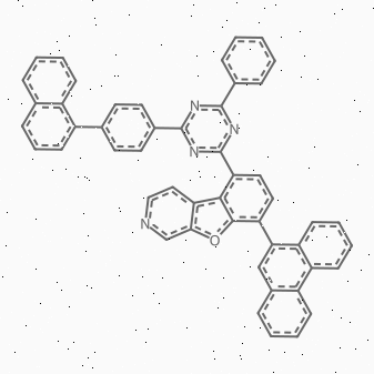 c1ccc(-c2nc(-c3ccc(-c4cccc5ccccc45)cc3)nc(-c3ccc(-c4cc5ccccc5c5ccccc45)c4oc5cnccc5c34)n2)cc1